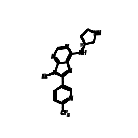 CCn1c(-c2ccc(C(F)(F)F)nc2)nc2c(N[C@H]3CCNC3)ncnc21